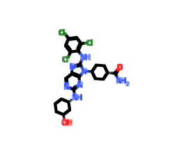 NC(=O)[C@H]1CC[C@@H](n2c(Nc3c(Cl)cc(Cl)cc3Cl)nc3cnc(N[C@H]4CCC[C@H](O)C4)nc32)CC1